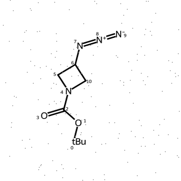 CC(C)(C)OC(=O)N1CC(N=[N+]=[N-])C1